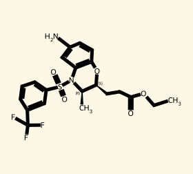 CCOC(=O)CC[C@@H]1Oc2ccc(N)cc2N(S(=O)(=O)c2cccc(C(F)(F)F)c2)[C@@H]1C